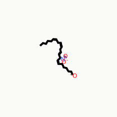 CCCCC/C=C\C/C=C\C/C=C/C(/C=C\CCCCC[C]=O)[N+](=O)[O-]